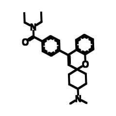 CCN(CC)C(=O)c1ccc(C2=CC3(CCC(N(C)C)CC3)Oc3ccccc32)cc1